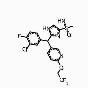 CS(=N)(=O)c1c[nH]c(C(c2ccc(OCC(F)(F)F)nc2)c2ccc(F)c(Cl)c2)n1